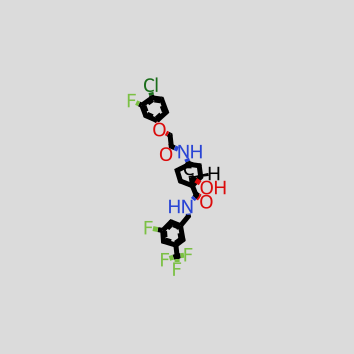 O=C(COc1ccc(Cl)c(F)c1)NC12CCC(C(=O)NCc3cc(F)cc(C(F)(F)F)c3)(CC1)[C@@H](O)C2